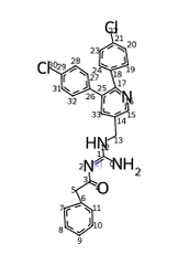 N/C(=N\C(=O)Cc1ccccc1)NCc1cnc(-c2ccc(Cl)cc2)c(-c2ccc(Cl)cc2)c1